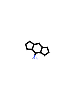 NC1C2CCCC2CC2CCCC21